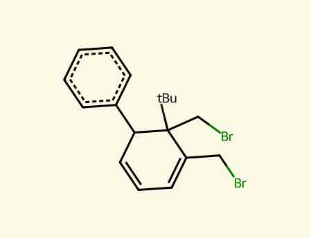 CC(C)(C)C1(CBr)C(CBr)=CC=CC1c1ccccc1